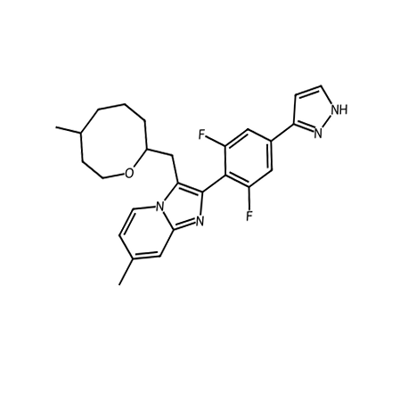 Cc1ccn2c(CC3CCCC(C)CCO3)c(-c3c(F)cc(-c4cc[nH]n4)cc3F)nc2c1